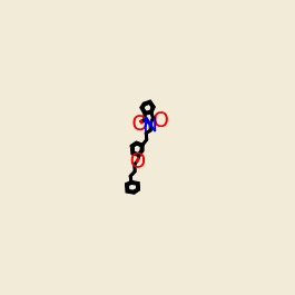 O=C1c2ccccc2C(=O)N1CCCc1cccc(OCCCc2ccccc2)c1